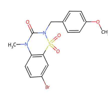 COc1ccc(CN2C(=O)N(C)c3ccc(Br)cc3S2(=O)=O)cc1